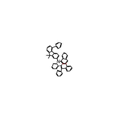 CC1(C)c2cc(N(c3ccccc3-c3ccc4ccccc4c3-c3ccccc3)c3cccc4ccccc34)ccc2-c2c(-c3ccccc3)cccc21